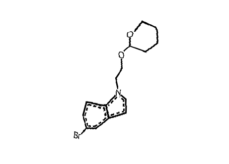 Brc1ccc2c(ccn2CCOC2CCCCO2)c1